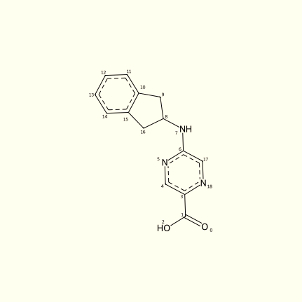 O=C(O)c1cnc(NC2Cc3ccccc3C2)cn1